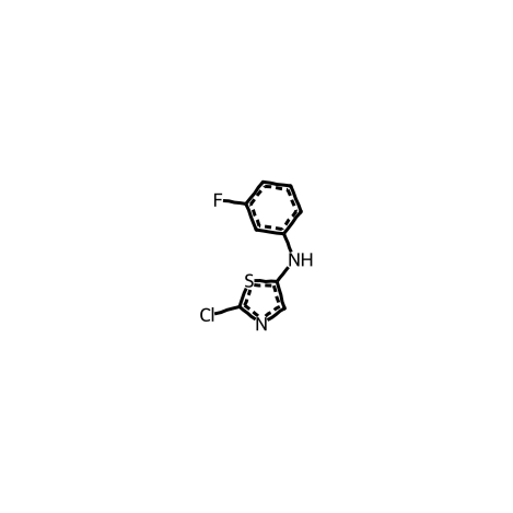 Fc1cccc(Nc2cnc(Cl)s2)c1